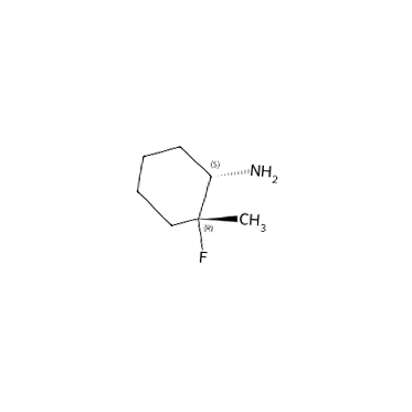 C[C@@]1(F)CCCC[C@@H]1N